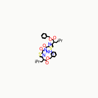 CC(C)CC(C(=O)OCc1ccccc1)c1csc(C(=O)N(N)C(=O)c2nc(C(CC(C)C)C(=O)OCc3ccccc3)cs2)n1